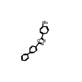 CC(C)(C)C1=CC=C(c2nnc(-c3ccc(-c4ccccc4)cc3)o2)CC=C1